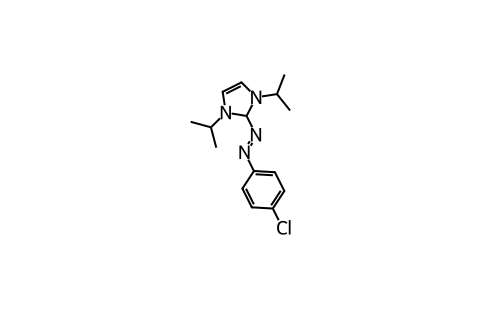 CC(C)N1C=CN(C(C)C)C1N=Nc1ccc(Cl)cc1